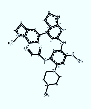 C=CC(=O)Nc1cc(Nc2nc(-c3cnc4c(ccn4C)c3)c3cc[nH]c3n2)c(OC)cc1N1CCN(C)CC1